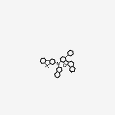 CC1(C)c2ccccc2-c2ccc(N(c3ccc4ccccc4c3)c3ccc(-c4ccccc4)c4c3oc3c5ccccc5ccc34)cc21